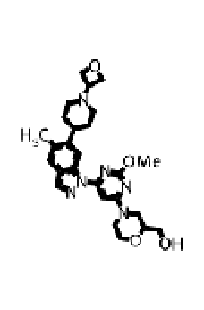 COc1nc(N2CCOC(CO)C2)cc(-n2ncc3cc(C)c(C4CCN(C5COC5)CC4)cc32)n1